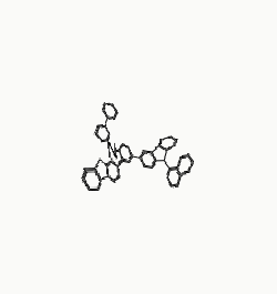 c1ccc(-c2cccc(-n3c4ccc(-c5ccc6c(c5)-c5ccccc5C6c5cccc6ccccc56)cc4c4ccc5c(c43)Cc3ccccc3-5)c2)cc1